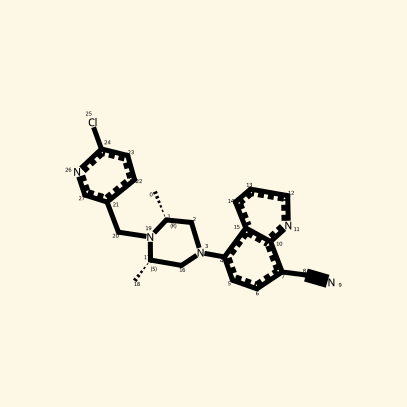 C[C@@H]1CN(c2ccc(C#N)c3ncccc23)C[C@H](C)N1Cc1ccc(Cl)nc1